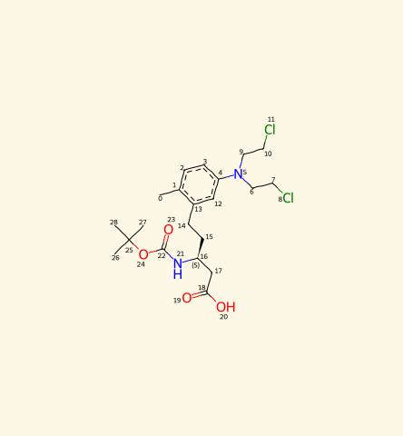 Cc1ccc(N(CCCl)CCCl)cc1CC[C@@H](CC(=O)O)NC(=O)OC(C)(C)C